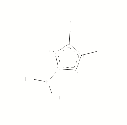 CN(C)n1cc(I)c(C(F)(F)F)n1